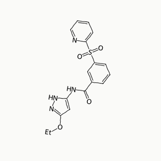 CCOc1cc(NC(=O)c2cccc(S(=O)(=O)c3ccccn3)c2)[nH]n1